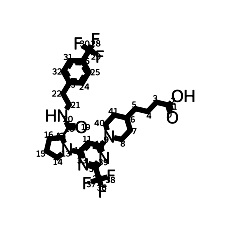 O=C(O)CCCC1CCN(c2cc(N3CCC[C@H]3C(=O)NCCc3ccc(C(F)(F)F)cc3)nc(C(F)(F)F)n2)CC1